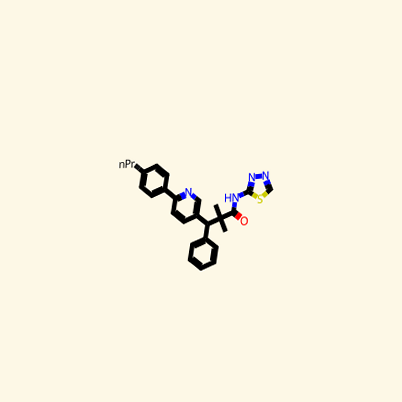 CCCc1ccc(-c2ccc(C(c3ccccc3)C(C)(C)C(=O)Nc3nncs3)cn2)cc1